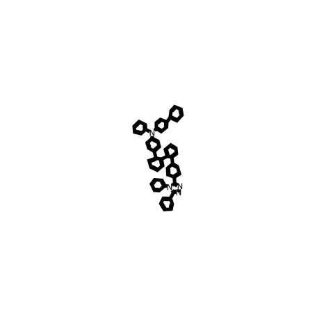 c1ccc(-c2ccc(N(c3ccccc3)c3ccc(-c4ccccc4-c4ccccc4-c4ccc(-c5nnc(-c6ccccc6)n5-c5ccccc5)cc4)cc3)cc2)cc1